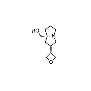 OC[C@@]12CCCN1CC(=C1COC1)C2